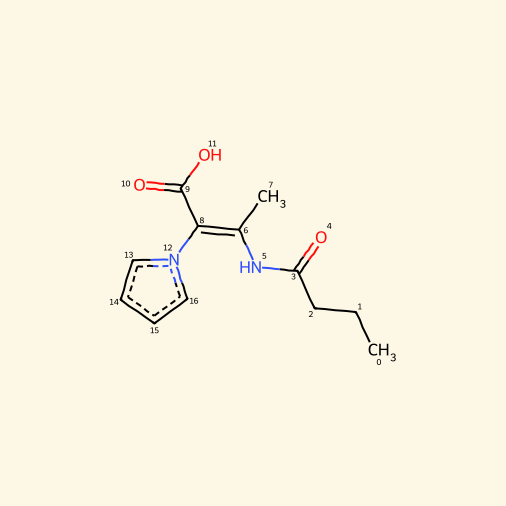 CCCC(=O)NC(C)=C(C(=O)O)n1cccc1